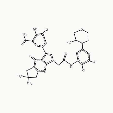 CC1COCCN1c1cc(NC(=O)Cn2cc(-c3cc(Cl)c(O)c(C(N)=O)c3)c3c(=O)n4c(nc32)CC(C)(C)C4)c(Cl)c(F)n1